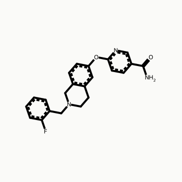 NC(=O)c1ccc(Oc2ccc3c(c2)CCN(Cc2ccccc2F)C3)nc1